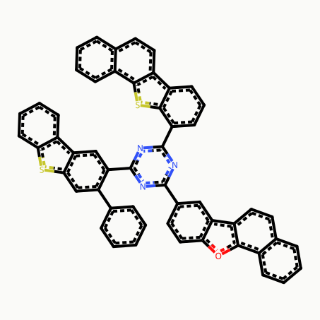 c1ccc(-c2cc3sc4ccccc4c3cc2-c2nc(-c3ccc4oc5c6ccccc6ccc5c4c3)nc(-c3cccc4c3sc3c5ccccc5ccc43)n2)cc1